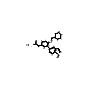 CC(Cc1ccc(OCC2CCCCC2)c(-c2ccc3c(ccn3C)c2)c1)C(=O)O